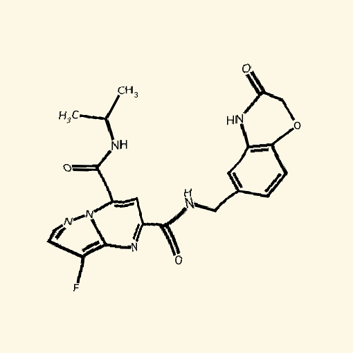 CC(C)NC(=O)c1cc(C(=O)NCc2ccc3c(c2)NC(=O)CO3)nc2c(F)cnn12